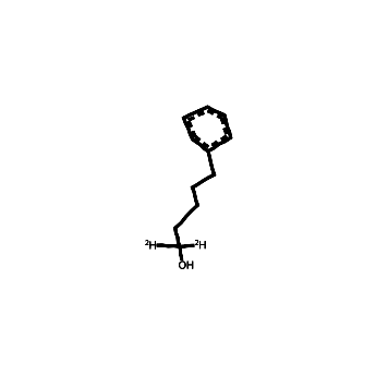 [2H]C([2H])(O)CCCCc1ccccc1